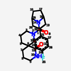 O=C(N1CCCC2(CCCNC2=O)C1)N1C2CCC1CC(c1ccc(F)cc1)C2